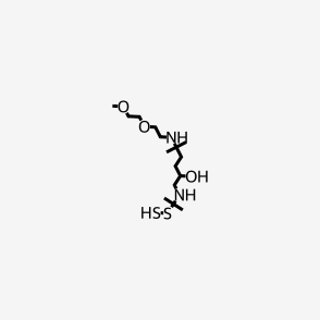 COCCOCCNC(C)(C)CCC(O)CNC(C)(C)SS